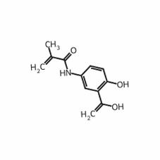 C=C(C)C(=O)Nc1ccc(O)c(C(=C)O)c1